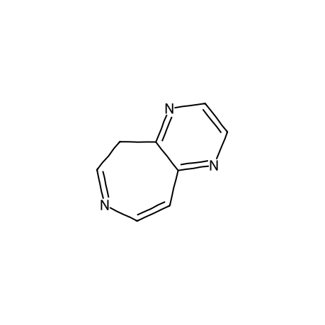 C1=Cc2nccnc2CC=N1